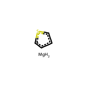 [MgH2].c1ccsc1